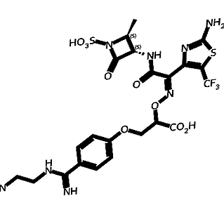 C[C@H]1[C@H](NC(=O)C(=NOC(COc2ccc(C(=N)NCCN)cc2)C(=O)O)c2nc(N)sc2C(F)(F)F)C(=O)N1S(=O)(=O)O